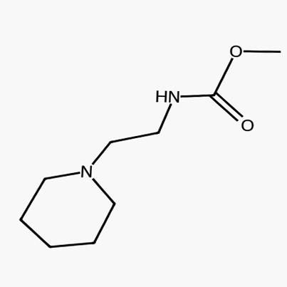 COC(=O)NCCN1CCCCC1